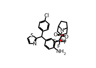 Nc1ccc(C(c2ccc(Cl)cc2)c2nccs2)cc1NC1CC2CCC(C1)N2S(=O)(=O)C(F)(F)F